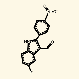 O=Cc1c(-c2ccc([N+](=O)[O-])cc2)[nH]c2ccc(F)cc12